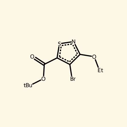 CCOc1nsc(C(=O)OC(C)(C)C)c1Br